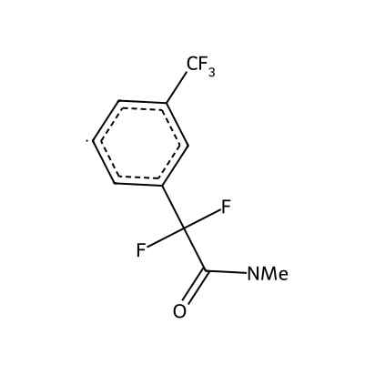 CNC(=O)C(F)(F)c1c[c]cc(C(F)(F)F)c1